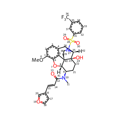 COc1ccc2c3c1O[C@H]1[C@H](N(C)C(=O)/C=C/c4ccoc4)CC[C@@]4(O)[C@@H](C2)N(S(=O)(=O)c2cccc(C(F)(F)F)c2)CC[C@]314